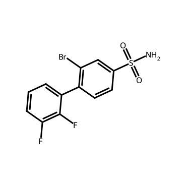 NS(=O)(=O)c1ccc(-c2cccc(F)c2F)c(Br)c1